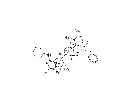 Cc1nc(NC2CCCCC2)c2c(n1)C(C)(C)[C@@H]1CC[C@]3(C)[C@H](CC=C4[C@@H]5[C@@H](C)[C@H](C)CC[C@]5(C(=O)OCc5ccccc5)CC[C@]43C)[C@@]1(C)C2